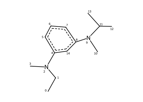 CCN(C)c1cccc(N(C)C(C)C)c1